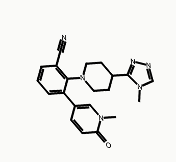 Cn1cnnc1C1CCN(c2c(C#N)cccc2-c2ccc(=O)n(C)c2)CC1